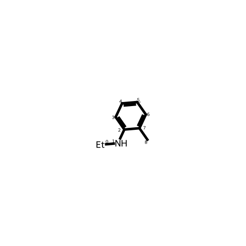 CCNc1cc[c]cc1C